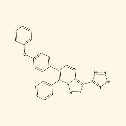 c1ccc(Oc2ccc(-c3cnc4c(-c5nn[nH]n5)cnn4c3-c3ccccc3)cc2)cc1